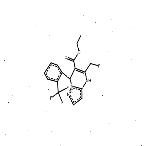 CCOC(=O)C1=C(CF)Nc2ccnn2C1c1ccccc1C(F)(F)F